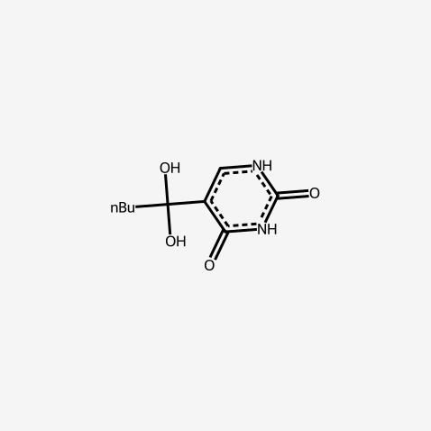 CCCCC(O)(O)c1c[nH]c(=O)[nH]c1=O